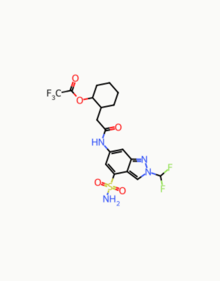 NS(=O)(=O)c1cc(NC(=O)CC2CCCCC2OC(=O)C(F)(F)F)cc2nn(C(F)F)cc12